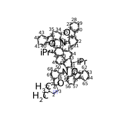 C=C/C=C\c1oc2c(N(c3cc(C(C)C)c4ccc5c(N(c6cccc7c6oc6ccccc67)c6cccc7c6oc6ccccc67)cc(C(C)C)c6ccc3c4c65)c3cccc4c3oc3ccccc34)cccc2c1C